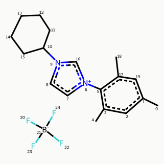 Cc1cc(C)c(-[n+]2ccn(C3CCCCC3)c2)c(C)c1.F[B-](F)(F)F